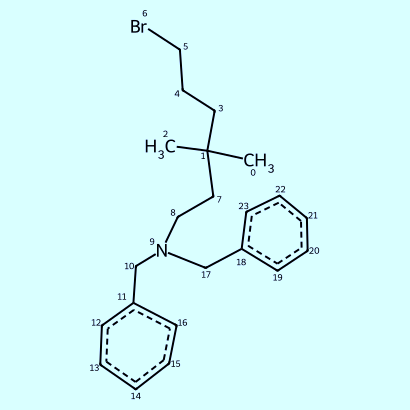 CC(C)(CCCBr)CCN(Cc1ccccc1)Cc1ccccc1